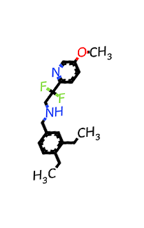 CCc1ccc(CNCC(F)(F)c2ccc(OC)cn2)cc1CC